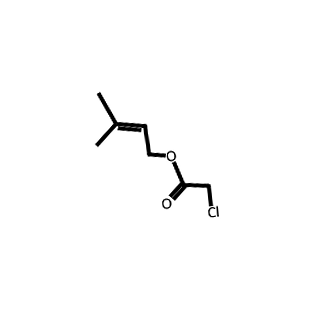 CC(C)=CCOC(=O)CCl